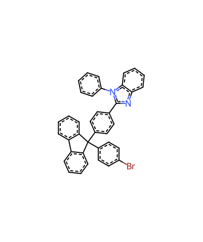 Brc1ccc(C2(c3ccc(-c4nc5ccccc5n4-c4ccccc4)cc3)c3ccccc3-c3ccccc32)cc1